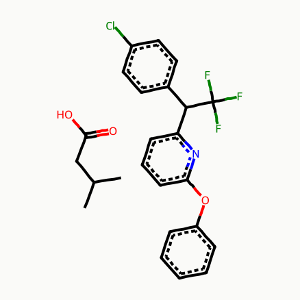 CC(C)CC(=O)O.FC(F)(F)C(c1ccc(Cl)cc1)c1cccc(Oc2ccccc2)n1